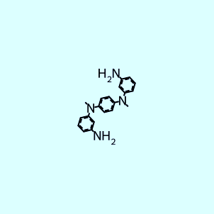 CN(c1ccc(N(C)c2cccc(N)c2)cc1)c1cccc(N)c1